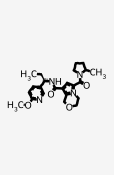 CC[C@@H](NC(=O)c1cc(C(=O)N2CCCC2C)n2c1COCC2)c1ccc(OC)nc1